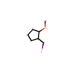 COC1CCCC1CI